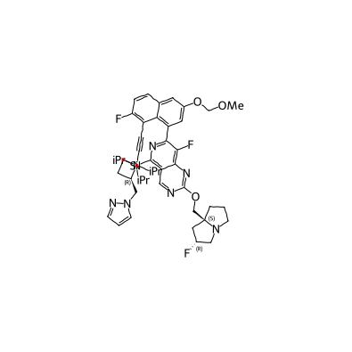 COCOc1cc(-c2nc(N3CC[C@@H]3Cn3cccn3)c3cnc(OC[C@@]45CCCN4C[C@H](F)C5)nc3c2F)c2c(C#C[Si](C(C)C)(C(C)C)C(C)C)c(F)ccc2c1